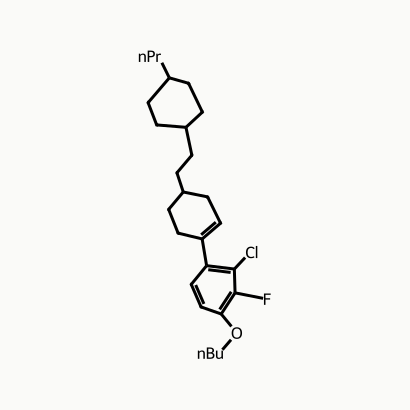 CCCCOc1ccc(C2=CCC(CCC3CCC(CCC)CC3)CC2)c(Cl)c1F